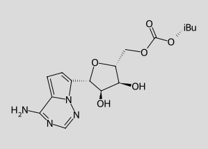 CC[C@@H](C)OC(=O)OC[C@H]1O[C@@H](c2ccc3c(N)ncnn23)[C@H](O)[C@@H]1O